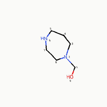 OCN1CCCNCC1